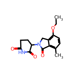 CCOc1ccc(C)c2c1CN(C1CCC(=O)NC1=O)C2=O